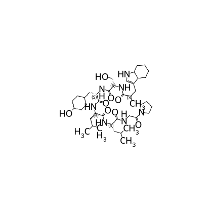 CC(C)C[C@H](NC(=O)[C@@H](CC(C)C)NC(=O)[C@H](CC1CCC(O)CC1)NC(=O)[C@H](CO)NC(=O)[C@@H](C)CC1=CNC2CCCCC12)C(=O)NCC(=O)N1CCCC1